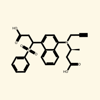 C#CCN(c1ccc(C(CC(=O)O)S(=O)(=O)c2ccccc2)c2ccccc12)[C@@H](C)CC(=O)O